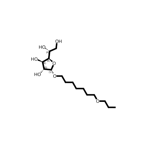 CCCOCCCCCCCO[C@H]1O[C@H]([C@H](O)CO)[C@H](O)[C@H]1O